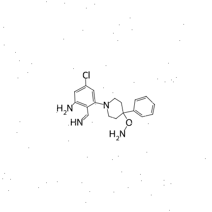 N=Cc1c(N)cc(Cl)cc1N1CCC(ON)(c2ccccc2)CC1